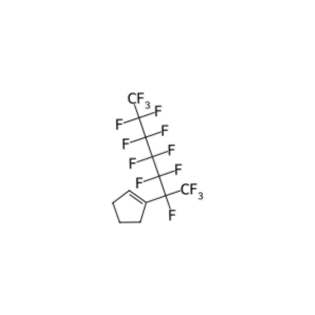 FC(F)(F)C(F)(F)C(F)(F)C(F)(F)C(F)(F)C(F)(C1=CCCC1)C(F)(F)F